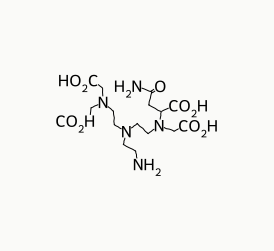 NCCN(CCN(CC(=O)O)CC(=O)O)CCN(CC(=O)O)C(CC(N)=O)C(=O)O